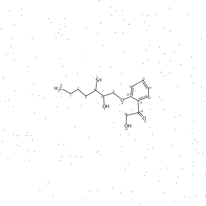 CCCCC(S)C(O)COc1ccccc1C(=O)CO